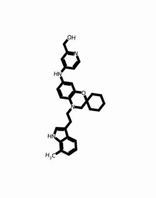 Cc1cccc2c(CCN3CC4(CCCCC4)Oc4cc(Nc5ccnc(CO)c5)ccc43)c[nH]c12